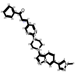 Cn1cc(-c2ccc3c(N4CCN(c5ncc(/C=C/C(=O)c6ccccc6)cn5)CC4)cnn3c2)cn1